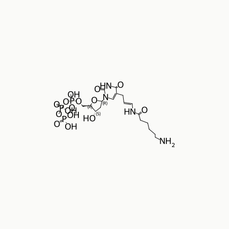 NCCCCCC(=O)NC=CCc1cn([C@H]2C[C@H](O)[C@@H](COP(=O)(O)OP(=O)(O)OP(=O)(O)O)O2)c(=O)[nH]c1=O